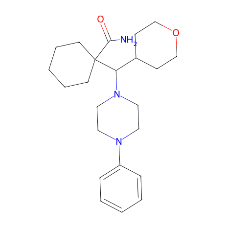 NC(=O)C1(C(C2CCOCC2)N2CCN(c3ccccc3)CC2)CCCCC1